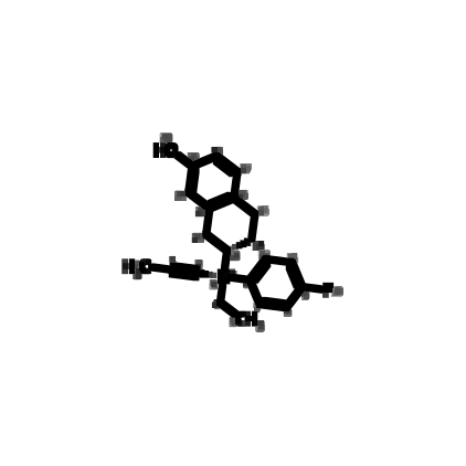 CC#C[N@@+](CC)(c1ccc(F)cc1)[C@H]1CCc2ccc(O)cc2C1